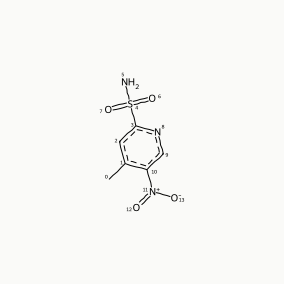 Cc1cc(S(N)(=O)=O)ncc1[N+](=O)[O-]